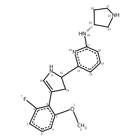 COc1cccc(F)c1C1=CNC(c2cccc(N[C@@H]3CCNC3)n2)C1